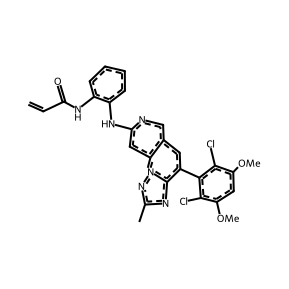 C=CC(=O)Nc1ccccc1Nc1cc2c(cn1)cc(-c1c(Cl)c(OC)cc(OC)c1Cl)c1nc(C)nn12